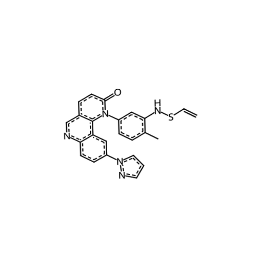 C=CSNc1cc(-n2c(=O)ccc3cnc4ccc(-n5cccn5)cc4c32)ccc1C